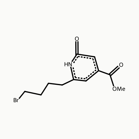 COC(=O)c1cc(CCCCBr)[nH]c(=O)c1